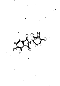 O=C1CC[C@H](N2C(=O)c3ccc(F)c(I)c3C2=O)C(=O)N1